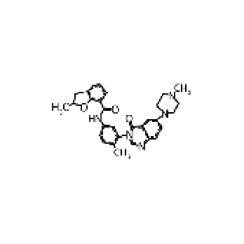 Cc1ccc(NC(=O)c2cccc3c2OC(C)C3)cc1-n1cnc2ccc(N3CCN(C)CC3)cc2c1=O